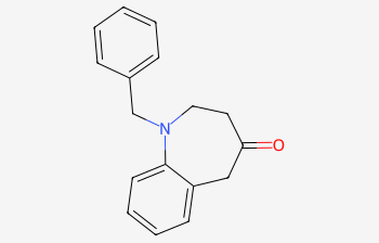 O=C1CCN(Cc2ccccc2)c2ccccc2C1